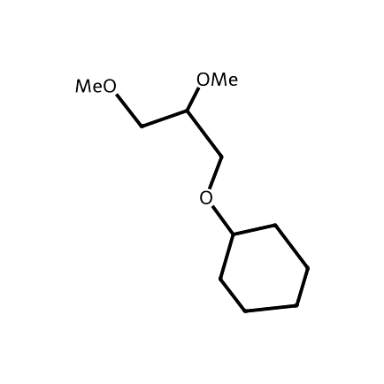 COCC(COC1CCCCC1)OC